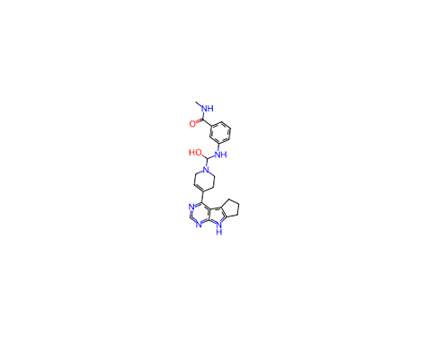 CNC(=O)c1cccc(NC(O)N2CC=C(c3ncnc4[nH]c5c(c34)CCC5)CC2)c1